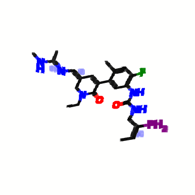 C/C=C(/P)CNC(=O)Nc1cc(C2=C/C(=C/N=C(\C)NC)CN(CC)C2=O)c(C)cc1F